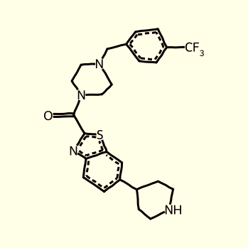 O=C(c1nc2ccc(C3CCNCC3)cc2s1)N1CCN(Cc2ccc(C(F)(F)F)cc2)CC1